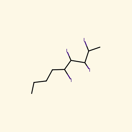 CCCCC(I)C(I)C(I)C(C)I